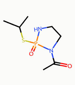 CC(=O)N1CCNP1(=O)SC(C)C